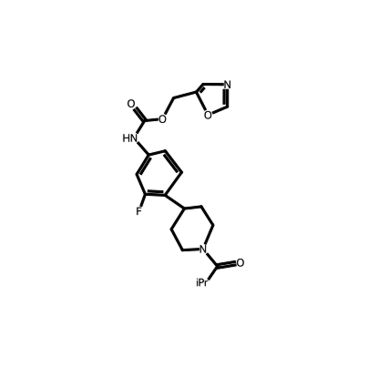 CC(C)C(=O)N1CCC(c2ccc(NC(=O)OCc3cnco3)cc2F)CC1